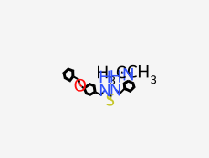 CN(C)c1cccc(CNC(=S)NCc2ccc(OCc3ccccc3)cc2)c1